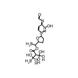 BC(OC(=O)C(C(B)(O)O)C(O)(O)O)C1CCC(N(C)/C=C\C(=N/C=O)NO)O1